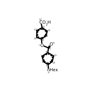 CCCCCCc1ccc(C(=O)Oc2ccc(C(=O)O)cc2)cc1